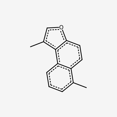 Cc1cccc2c1ccc1occ(C)c12